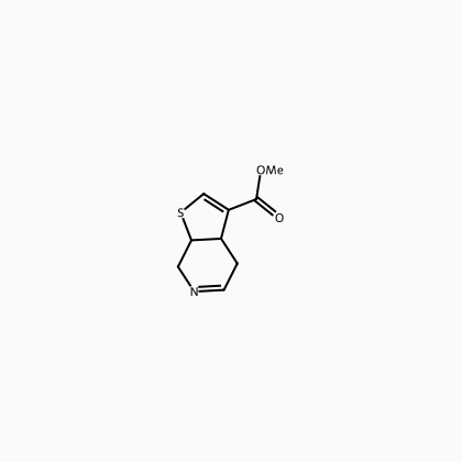 COC(=O)C1=CSC2CN=CCC12